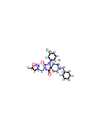 Cc1cc(CN2C(=O)N(c3cccc(F)c3)[C@@]3(CCN(Cc4ccccc4)[C@@H](C)C3)C2=O)no1